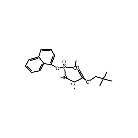 COP(=O)(N[C@@H](C)C(=O)OCC(C)(C)C)Oc1cccc2ccccc12